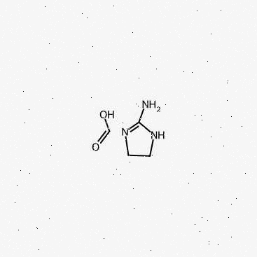 NC1=NCCN1.O=CO